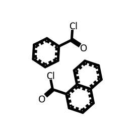 O=C(Cl)c1cccc2ccccc12.O=C(Cl)c1ccccc1